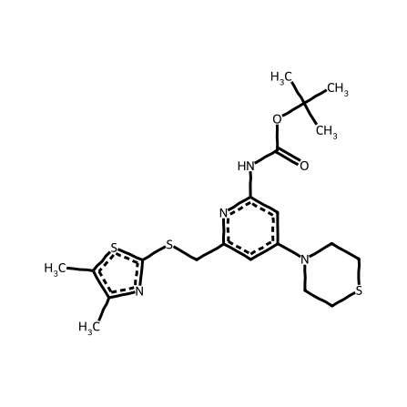 Cc1nc(SCc2cc(N3CCSCC3)cc(NC(=O)OC(C)(C)C)n2)sc1C